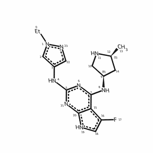 CCn1cc(Nc2nc(N[C@H]3CN[C@@H](C)C3)c3c(F)c[nH]c3n2)cn1